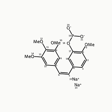 COc1ccc(/C=C\c2cc(OC)c(OC)c(OC)c2)cc1OP([O-])[O-].[Na+].[Na+]